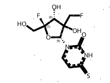 O=c1[nH]c(=S)ccn1[C@@H]1O[C@](F)(CO)[C@H](O)C1(O)CF